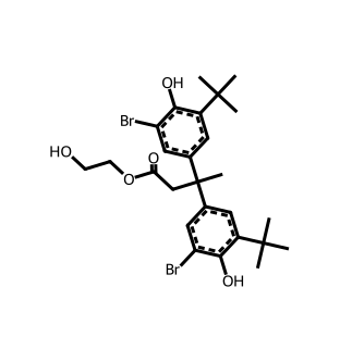 CC(C)(C)c1cc(C(C)(CC(=O)OCCO)c2cc(Br)c(O)c(C(C)(C)C)c2)cc(Br)c1O